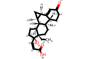 CC[C@]12CC[C@H]3[C@@H]([C@H]4C[C@H]4C4=CC(=O)CC[C@@H]43)[C@@H]1CC[C@@]2(O)/C=C\C(=O)O